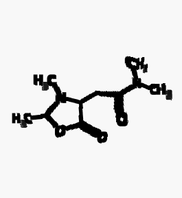 CC1OC(=O)C(CC(=O)N(C)C)N1C